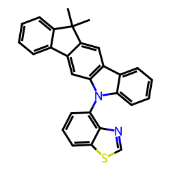 CC1(C)c2ccccc2-c2cc3c(cc21)c1ccccc1n3-c1cccc2scnc12